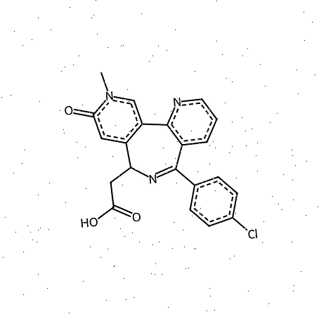 Cn1cc2c(cc1=O)C(CC(=O)O)N=C(c1ccc(Cl)cc1)c1cccnc1-2